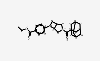 CCOC(=O)c1ccc(N2CC3CN(C(=O)C45CC6CC(CC(C6)C4)C5)CC32)cc1